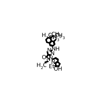 C=CCn1c(=O)c2cnc(Nc3cc4c5c(c3)CN(C)C(C)(C)C5(C)CCC4)nc2n1-c1ccc2c(n1)C(O)(CC)CC2